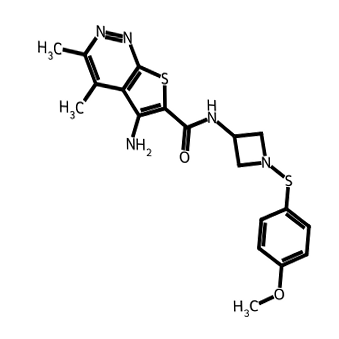 COc1ccc(SN2CC(NC(=O)c3sc4nnc(C)c(C)c4c3N)C2)cc1